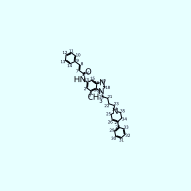 Cc1cc(NC(=O)C=Cc2ccccc2)cc2ncn(CCCCN3CC=C(c4ccccc4)CC3)c12